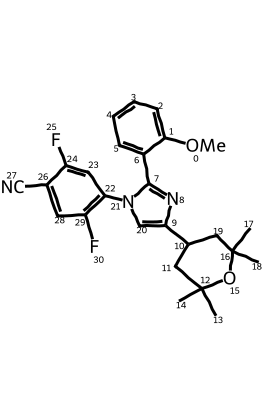 COc1ccccc1-c1nc(C2CC(C)(C)OC(C)(C)C2)cn1-c1cc(F)c(C#N)cc1F